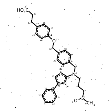 C[S+]([O-])CCCN(Cc1ccc(COc2ccc(CCC(=O)O)cc2)cc1)c1nc(-c2ccccc2)cs1